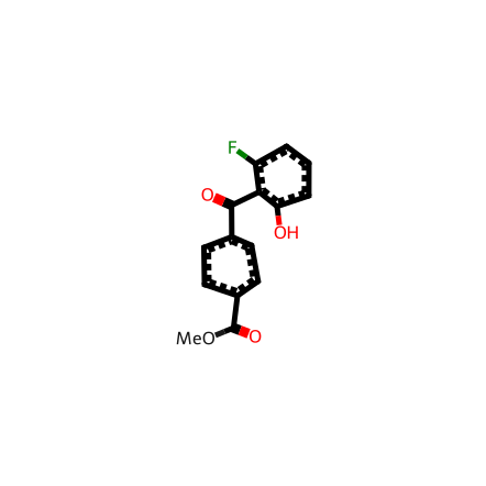 COC(=O)c1ccc(C(=O)c2c(O)cccc2F)cc1